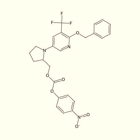 O=C(OCC1CCCN1c1cnc(OCc2ccccc2)c(C(F)(F)F)c1)Oc1ccc([N+](=O)[O-])cc1